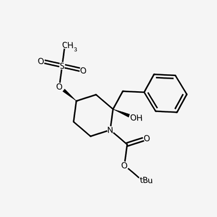 CC(C)(C)OC(=O)N1CC[C@@H](OS(C)(=O)=O)C[C@]1(O)Cc1ccccc1